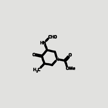 COC(=O)N1CC(C)C(=O)C(NC=O)C1